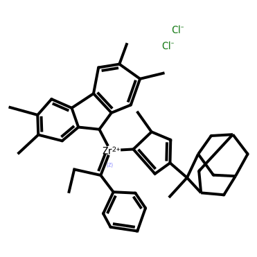 CC/[C](c1ccccc1)=[Zr+2](/[C]1=CC(C2(C)C3CC4CC(C3)CC2C4)=CC1C)[CH]1c2cc(C)c(C)cc2-c2cc(C)c(C)cc21.[Cl-].[Cl-]